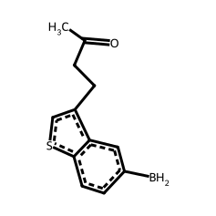 Bc1ccc2scc(CCC(C)=O)c2c1